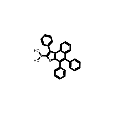 OB(O)c1sc2c(-c3ccccc3)c(-c3ccccc3)c3ccccc3c2c1-c1ccccc1